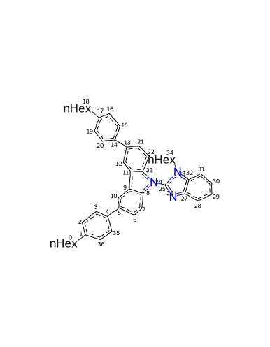 CCCCCCc1ccc(-c2ccc3c(c2)c2cc(-c4ccc(CCCCCC)cc4)ccc2n3-c2nc3ccccc3n2CCCCCC)cc1